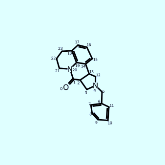 O=C1C2CN(Cc3ccccc3)CC2c2cccc3c2N1CCC3